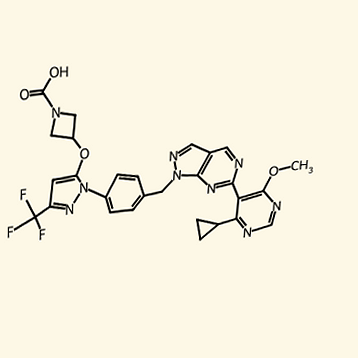 COc1ncnc(C2CC2)c1-c1ncc2cnn(Cc3ccc(-n4nc(C(F)(F)F)cc4OC4CN(C(=O)O)C4)cc3)c2n1